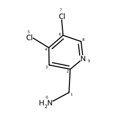 NCc1cc(Cl)c(Cl)cn1